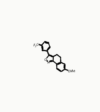 COc1ccc2c(c1)CCc1c-2noc1-c1cccc(C(F)(F)F)c1